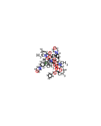 C[C@@H](OC(=O)[C@H](CC1CC1)N(C)C(=O)[C@@H](Cc1ccc(N2CCOCC2)cc1)OC(=O)[C@H](CC(C)(C)F)N(C)C(=O)[C@@H](C)OC(=O)[C@H](CC1CC1)N(C)C(=O)[CH]Cc1ccc(N2CCOCC2)cc1)C(=O)OCc1ccccc1